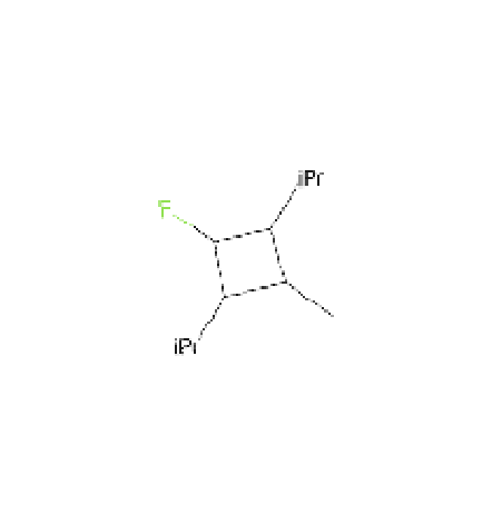 CC(C)C1C(C)C(C(C)C)C1F